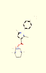 Cc1cc(C(=O)CN2[C@H]3CC[C@@H]2[C@](C)(O)C3)c(C)n1-c1ccc(C#N)cc1